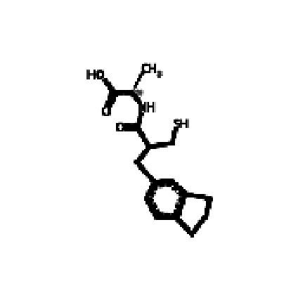 C[C@H](NC(=O)C(CS)Cc1ccc2c(c1)CCC2)C(=O)O